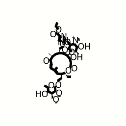 CCOC(=O)c1cn(CC[C@H]2C[C@@H](C)C(=O)/C=C/C(C)=C/[C@H](CCO[C@@H]3OC(C)[C@@H](O)[C@H](COC)C3OC)[C@@H](CC)OC(=O)C[C@@H](O)[C@H](C)[C@H]2O[C@@H]2O[C@H](C)[C@@H](O)C(N(C)C)C2O)nn1